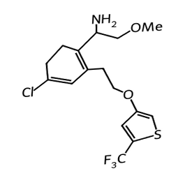 COCC(N)C1=C(CCOc2csc(C(F)(F)F)c2)C=C(Cl)CC1